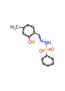 Cc1ccc(/C=N/NS(=O)(=O)c2ccccc2)c(O)c1